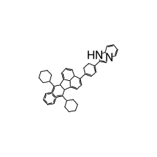 C1=CC2C(C3=CC=C(C4=CN5C=CC=CC5N4)CC3)=CC=C3C2C(=C1)C1C(C2CCCCC2)=c2ccccc2=C(C2CCCCC2)C31